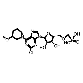 COC1CCCN(c2nc(Cl)nc3c2ncn3C2O[C@H](COCP(=O)(O)O)[C@@H](O)[C@H]2O)C1